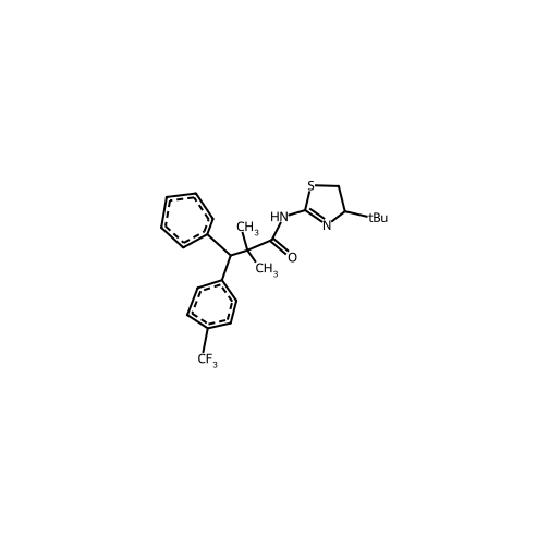 CC(C)(C)C1CSC(NC(=O)C(C)(C)C(c2ccccc2)c2ccc(C(F)(F)F)cc2)=N1